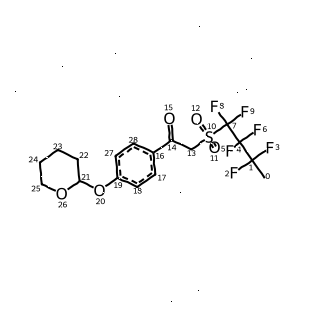 CC(F)(F)C(F)(F)C(F)(F)S(=O)(=O)CC(=O)c1ccc(OC2CCCCO2)cc1